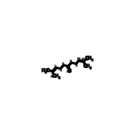 CC(C)=CCCC(=O)CCC=C(C)C